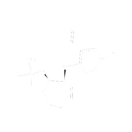 CC=Cc1cc(F)ccc1O[C@H]1C=CCCC[C@H]1O[Si](C)(C)C(C)(C)C